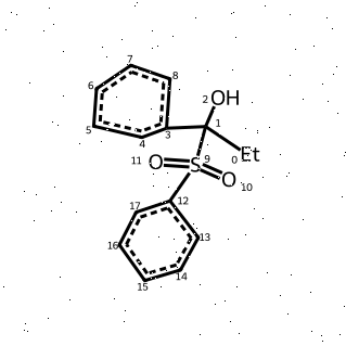 CCC(O)(c1ccccc1)S(=O)(=O)c1ccccc1